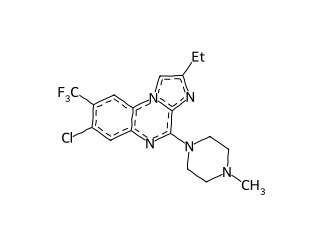 CCc1cn2c(n1)c(N1CCN(C)CC1)nc1cc(Cl)c(C(F)(F)F)cc12